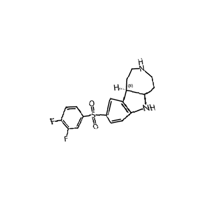 O=S(=O)(c1ccc(F)c(F)c1)c1ccc2c(c1)[C@H]1CCNCCC1N2